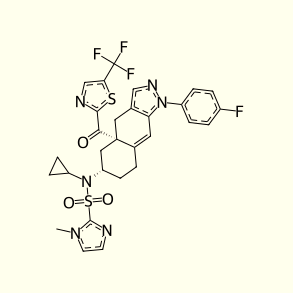 Cn1ccnc1S(=O)(=O)N(C1CC1)[C@H]1CCC2=Cc3c(cnn3-c3ccc(F)cc3)C[C@]2(C(=O)c2ncc(C(F)(F)F)s2)C1